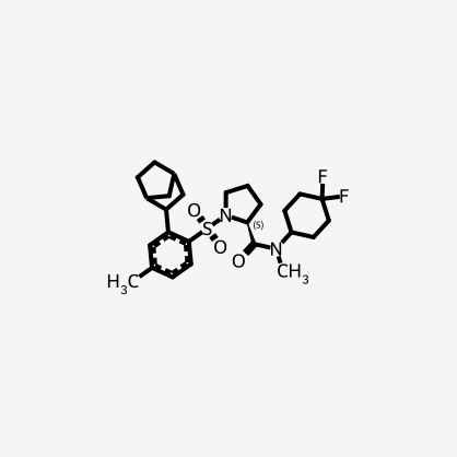 Cc1ccc(S(=O)(=O)N2CCC[C@H]2C(=O)N(C)C2CCC(F)(F)CC2)c(C2CC3CCC2C3)c1